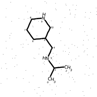 CC(C)NCC1CCCNC1